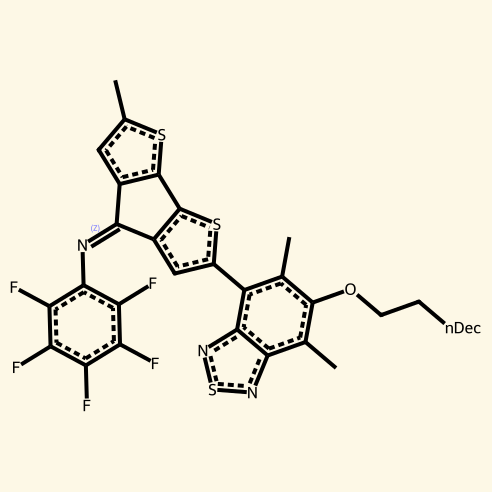 CCCCCCCCCCCCOc1c(C)c(-c2cc3c(s2)-c2sc(C)cc2/C3=N/c2c(F)c(F)c(F)c(F)c2F)c2nsnc2c1C